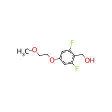 COCCOc1cc(F)c(CO)c(F)c1